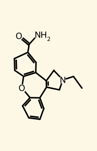 CCN1CC2=C(C1)c1cc(C(N)=O)ccc1Oc1ccccc12